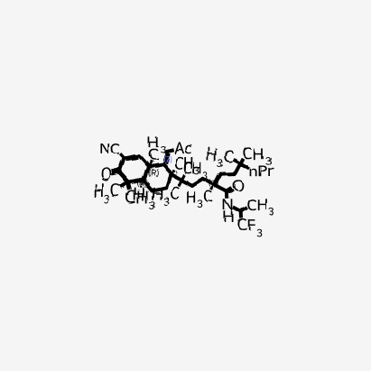 CCCC(C)(C)CC[C@@](C)(CCC(C)(C)[C@]1(C)CC[C@H]2C(C)(C)C(=O)C(C#N)=C[C@]2(C)/C1=C/C(C)=O)C(=O)NC(C)C(F)(F)F